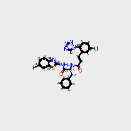 O=C(/C=C/c1cc(Cl)ccc1-n1cnnn1)N[C@@H](Cc1ccccc1)C(=O)Nc1nc2ccc(F)cc2s1